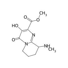 CNC1CCCn2c1nc(C(=O)OC)c(O)c2=O